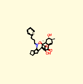 C[C@H]1C=C2C(=O)C=C3C4=C(C5=C(CCC5)C4)N(CCCc4ccccc4)O[C@]3(C(=O)CO)[C@@]2(C)C[C@@H]1O